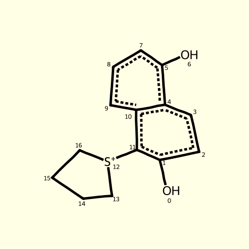 Oc1ccc2c(O)cccc2c1[S+]1CCCC1